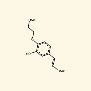 COCCOc1ccc(/C=N/OC)cc1O